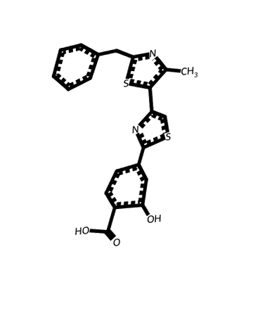 Cc1nc(Cc2ccccc2)sc1-c1csc(-c2ccc(C(=O)O)c(O)c2)n1